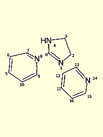 C1=NCCN1.c1ccncc1.c1ccncc1